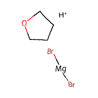 C1CCOC1.[Br][Mg][Br].[H+]